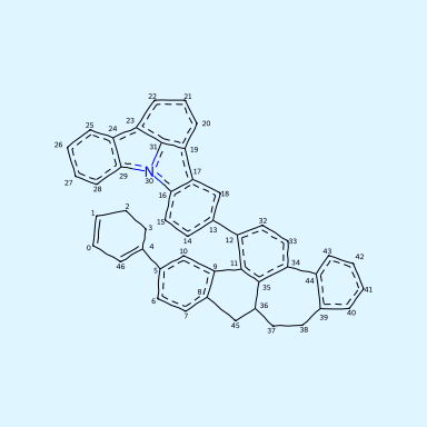 C1=CCCC(c2ccc3c(c2)-c2c(-c4ccc5c(c4)c4cccc6c7ccccc7n5c64)ccc4c2C(CCc2ccccc2-4)C3)=C1